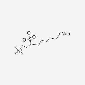 CCCCCCCCCCCCCCC(CC[N+](C)(C)C)S(=O)(=O)[O-]